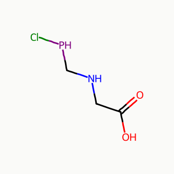 O=C(O)CNCPCl